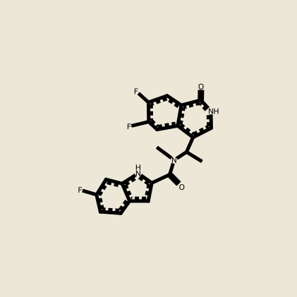 CC(c1c[nH]c(=O)c2cc(F)c(F)cc12)N(C)C(=O)c1cc2ccc(F)cc2[nH]1